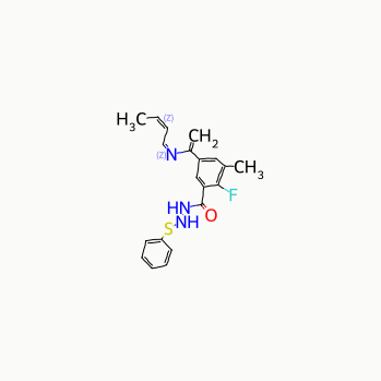 C=C(/N=C\C=C/C)c1cc(C)c(F)c(C(=O)NNSc2ccccc2)c1